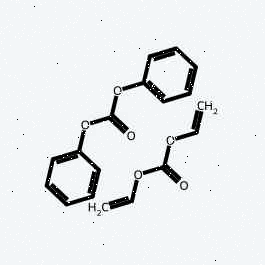 C=COC(=O)OC=C.O=C(Oc1ccccc1)Oc1ccccc1